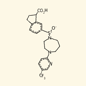 O=C(O)C1CCc2ccc([S+]([O-])N3CCCN(c4ccc(C(F)(F)F)cn4)CC3)cc21